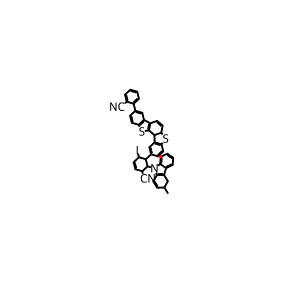 CC1C=Cc2c(c3ccccc3n2C2C(C#N)C=CC(I)C2c2ccc3c(c2)C2c4sc5ccc(-c6ccccc6C#N)cc5c4C=CC2S3)C1